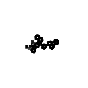 CC1(C)c2ccccc2-c2cc3c(cc21)c1c2ccccc2ccc1n3-c1cccc(-c2ccc3c4c(cccc24)-c2ccccc2-3)c1